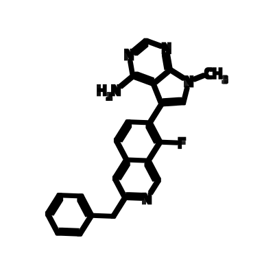 Cn1cc(-c2ccc3cc(Cc4ccccc4)ncc3c2F)c2c(N)ncnc21